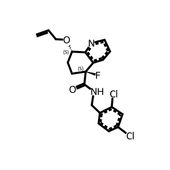 C=CCO[C@H]1CC[C@@](F)(C(=O)NCc2ccc(Cl)cc2Cl)c2cccnc21